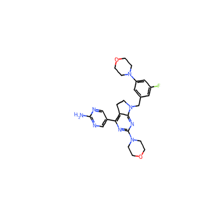 Nc1ncc(-c2nc(N3CCOCC3)nc3c2CCN3Cc2cc(F)cc(N3CCOCC3)c2)cn1